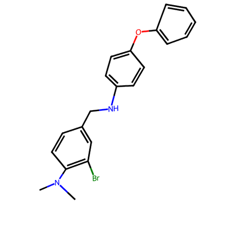 CN(C)c1ccc(CNc2ccc(Oc3ccccc3)cc2)cc1Br